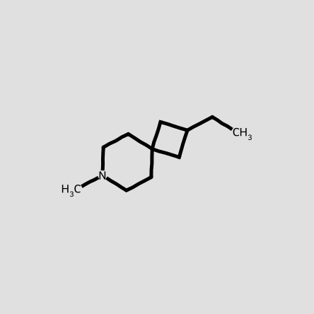 CCC1CC2(CCN(C)CC2)C1